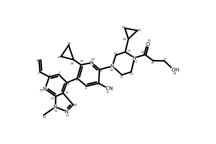 C=Cc1cc(-c2cc(C#N)c(N3CCN(C(=O)CCO)C(C4CC4)C3)nc2C2CC2)c2cnn(C)c2n1